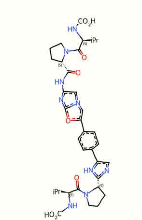 CC(C)[C@H](NC(=O)O)C(=O)N1CCC[C@H]1C(=O)Nc1cn2cc(-c3ccc(-c4cnc([C@@H]5CCCN5C(=O)[C@@H](NC(=O)O)C(C)C)[nH]4)cc3)oc2n1